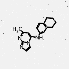 Cc1cc(Nc2ccc3c(c2)CCCC3)n2ccnc2n1